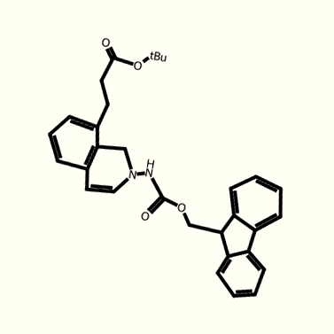 CC(C)(C)OC(=O)CCc1cccc2c1CN(NC(=O)OCC1c3ccccc3-c3ccccc31)C=C2